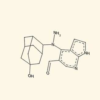 NN(c1c(C=O)cnc2[nH]ccc12)C1C2CC3CC1CC(O)(C3)C2